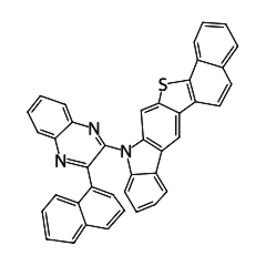 c1ccc2c(-c3nc4ccccc4nc3-n3c4ccccc4c4cc5c(cc43)sc3c4ccccc4ccc53)cccc2c1